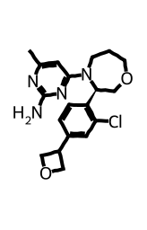 Cc1cc(N2CCCOC[C@H]2c2ccc(C3COC3)cc2Cl)nc(N)n1